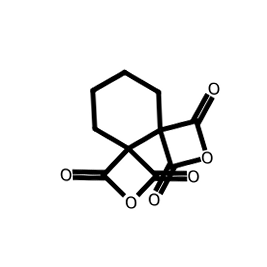 O=C1OC(=O)C12CCCCC21C(=O)OC1=O